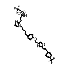 O=S(=O)(CC(F)(F)F)NCCc1nccn1CCCCc1ccc(OCc2coc(/C=C/c3ccc(C(F)(F)F)cc3)n2)cc1